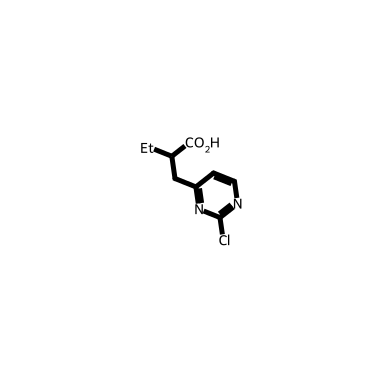 CCC(Cc1ccnc(Cl)n1)C(=O)O